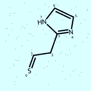 S=[C]Cc1ncc[nH]1